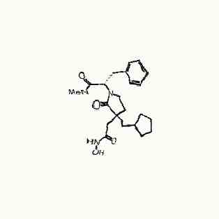 CNC(=O)[C@H](Cc1ccccc1)N1CC[C@](CC(=O)NO)(CC2CCCC2)C1=O